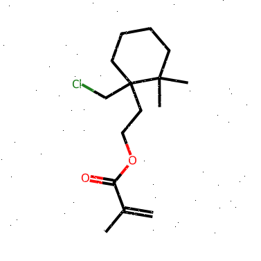 C=C(C)C(=O)OCCC1(CCl)CCCCC1(C)C